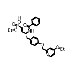 CCOc1ccnc(COc2ccc(C[C@H](/C=C/P(=O)(O)OCC)NC(=O)c3ccccc3)cc2)c1